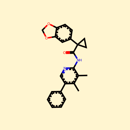 Cc1c(-c2ccccc2)cnc(NC(=O)C2(c3ccc4c(c3)OCO4)CC2)c1C